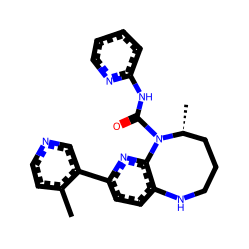 Cc1ccncc1-c1ccc2c(n1)N(C(=O)Nc1ccccn1)[C@H](C)CCCN2